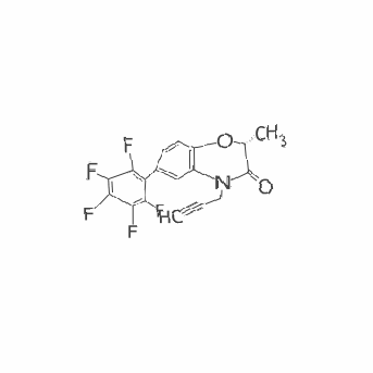 C#CCN1C(=O)[C@@H](C)Oc2ccc(-c3c(F)c(F)c(F)c(F)c3F)cc21